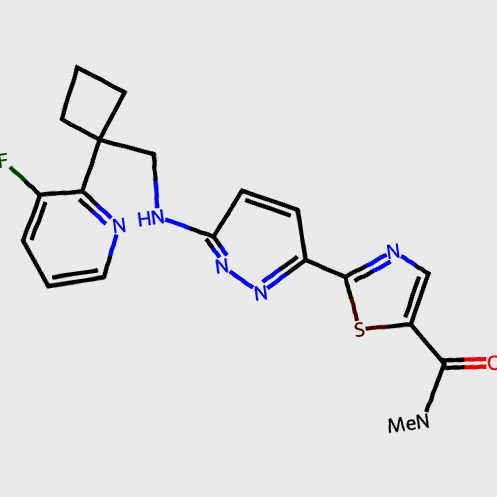 CNC(=O)c1cnc(-c2ccc(NCC3(c4ncccc4F)CCC3)nn2)s1